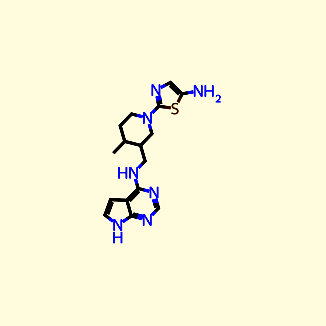 CC1CCN(c2ncc(N)s2)CC1CNc1ncnc2[nH]ccc12